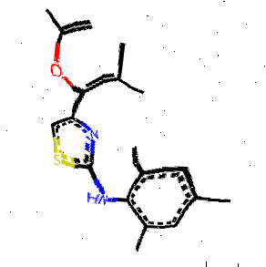 C=C(C)OC(=C(C)C)c1csc(Nc2c(C)cc(C)cc2C)n1